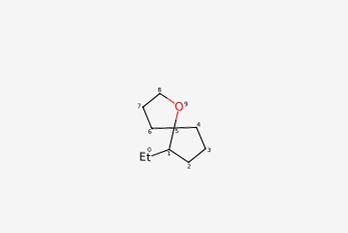 CCC1CCCC12CCCO2